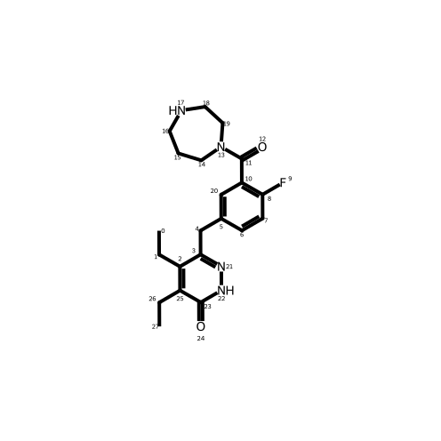 CCc1c(Cc2ccc(F)c(C(=O)N3CCCNCC3)c2)n[nH]c(=O)c1CC